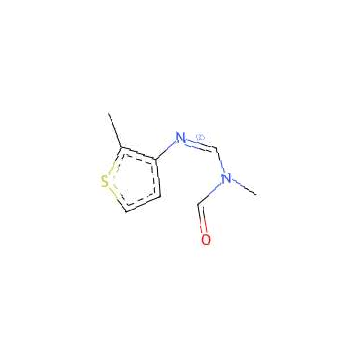 Cc1sccc1/N=C\N(C)C=O